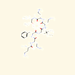 COC(C)(C)C[C@H](NC(=O)[C@@H](Cc1ccccc1)NC(=O)[C@H](CCN)NC(=O)[C@@H](N)CCN)C(=O)N[C@@H](CCN)C(=O)N[C@@H](CCN)C(=O)N[C@H](C(=O)O)[C@@H](C)O